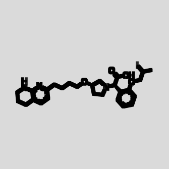 CC(I)COc1ccccc1[C@H](C(=O)O)N1CC[C@@H](OCCCCc2ccc3c(n2)NCCC3)C1